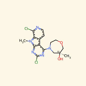 Cn1c2nc(Cl)nc(N3CCOC[C@@](C)(O)C3)c2c2ccnc(Cl)c21